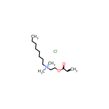 C=CC(=O)OCC[N+](C)(C)CCCCCCCC.[Cl-]